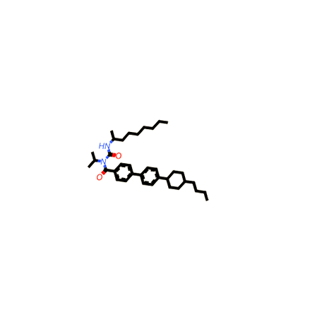 CCCCCCCC(C)NC(=O)N(C(=O)c1ccc(-c2ccc(C3CCC(CCCC)CC3)cc2)cc1)C(C)C